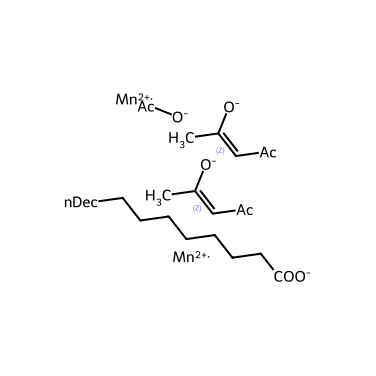 CC(=O)/C=C(/C)[O-].CC(=O)/C=C(/C)[O-].CC(=O)[O-].CCCCCCCCCCCCCCCCCC(=O)[O-].[Mn+2].[Mn+2]